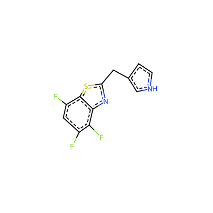 Fc1cc(F)c2sc(Cc3cc[nH]c3)nc2c1F